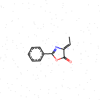 C/C=C1\N=C(c2ccccc2)OC1=O